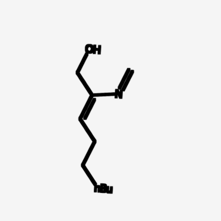 C=NC(=CCCCCCC)CO